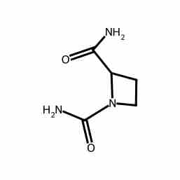 NC(=O)C1CCN1C(N)=O